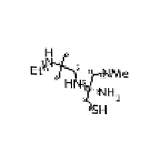 CCNC(C)(C)CN[C@](N)(CS)CNC